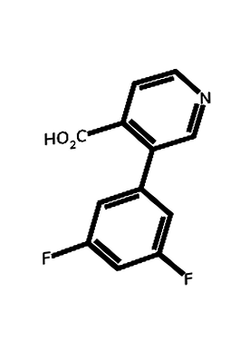 O=C(O)c1ccncc1-c1cc(F)cc(F)c1